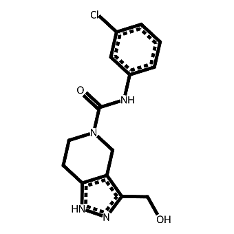 O=C(Nc1cccc(Cl)c1)N1CCc2[nH]nc(CO)c2C1